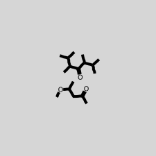 CC(C)C(C)C(=O)C(C)C(C)C.COC(C)CC(C)=O